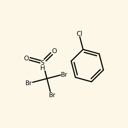 Clc1ccccc1.O=[SH](=O)C(Br)(Br)Br